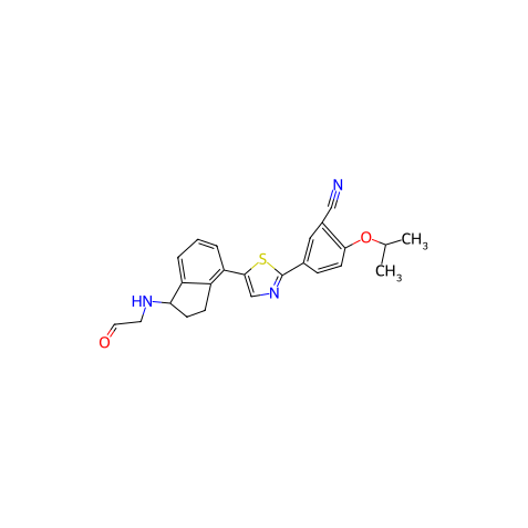 CC(C)Oc1ccc(-c2ncc(-c3cccc4c3CCC4NCC=O)s2)cc1C#N